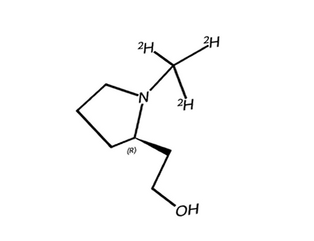 [2H]C([2H])([2H])N1CCC[C@@H]1CCO